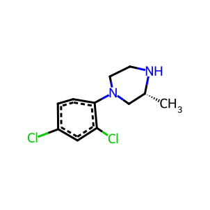 C[C@@H]1CN(c2ccc(Cl)cc2Cl)CCN1